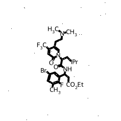 CCOC(=O)CC(NC(=O)C(CC(C)C)n1cc(CCN(C)C)c(C(F)(F)F)cc1=O)c1cc(Br)cc(C)c1F